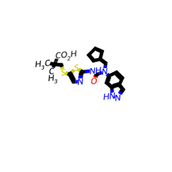 CC(C)(CSc1cnc(NC(=O)N(CC2CCCC2)c2ccc3cn[nH]c3c2)s1)C(=O)O